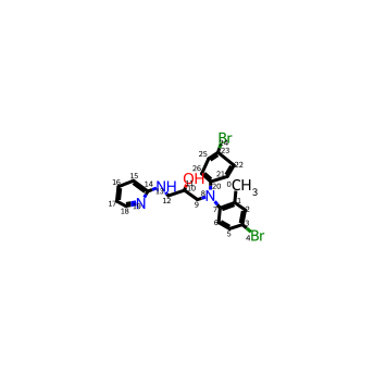 Cc1cc(Br)ccc1N(CC(O)CNc1ccccn1)c1ccc(Br)cc1